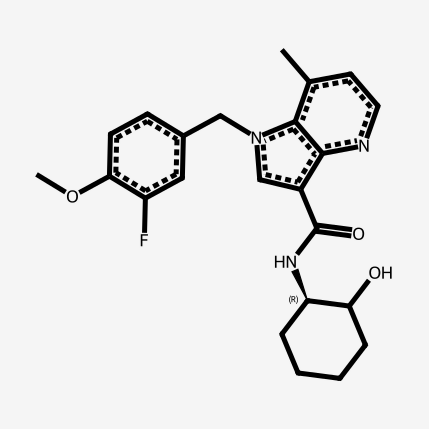 COc1ccc(Cn2cc(C(=O)N[C@@H]3CCCCC3O)c3nccc(C)c32)cc1F